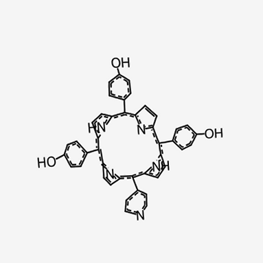 Oc1ccc(-c2c3nc(c(-c4ccc(O)cc4)c4ccc([nH]4)c(-c4ccc(O)cc4)c4nc(c(-c5ccncc5)c5ccc2[nH]5)C=C4)C=C3)cc1